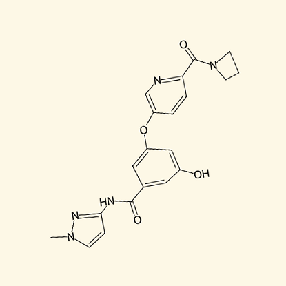 Cn1ccc(NC(=O)c2cc(O)cc(Oc3ccc(C(=O)N4CCC4)nc3)c2)n1